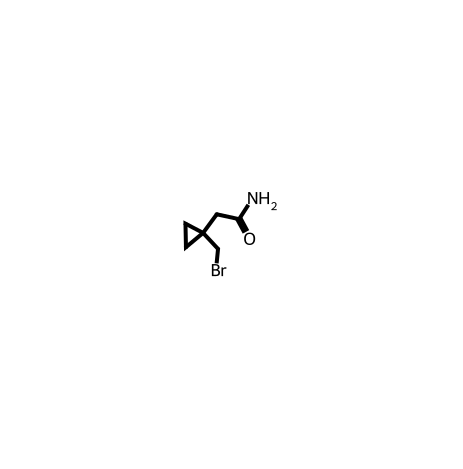 NC(=O)CC1(CBr)CC1